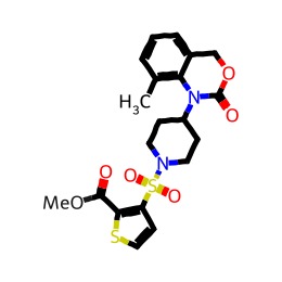 COC(=O)c1sccc1S(=O)(=O)N1CCC(N2C(=O)OCc3cccc(C)c32)CC1